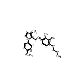 COc1ccc(-n2ccc(C(F)(F)F)c2COc2ccc(CCCO)c(F)c2F)cn1